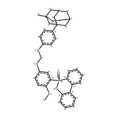 COc1ccc(OCOc2ccc(C34CC5CC(CC(C)(C5)C3)C4)cc2)cc1P1(=O)Oc2ccccc2-c2ccccc21